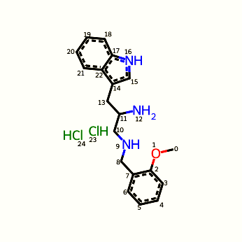 COc1ccccc1CNCC(N)Cc1c[nH]c2ccccc12.Cl.Cl